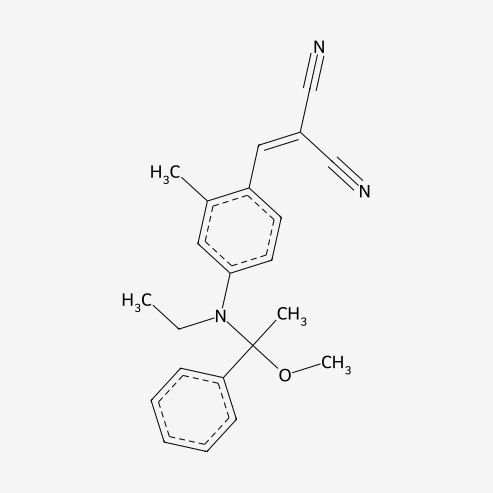 CCN(c1ccc(C=C(C#N)C#N)c(C)c1)C(C)(OC)c1ccccc1